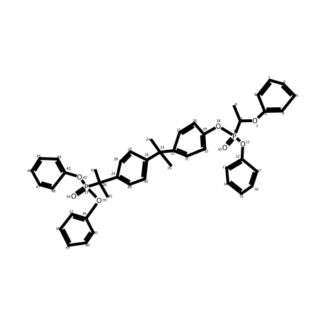 CC(Oc1ccccc1)P(=O)(Oc1ccccc1)Oc1ccc(C(C)(C)c2ccc(C(C)(C)P(=O)(Oc3ccccc3)Oc3ccccc3)cc2)cc1